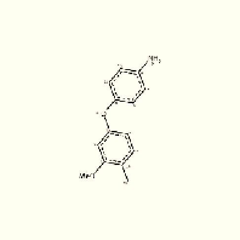 COc1cc(Oc2ccc(N)cc2)ccc1C